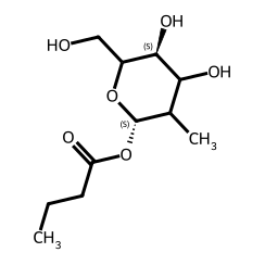 CCCC(=O)O[C@@H]1OC(CO)[C@@H](O)C(O)C1C